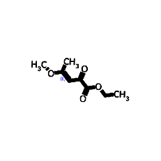 CCOC(=O)C(=O)/C=C(\C)OC